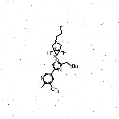 Cc1ncc(-c2cn([C@H]3[C@@H]4CN(CCF)C[C@@H]43)c(CC(C)(C)C)n2)cc1C(F)(F)F